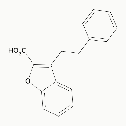 O=C(O)c1oc2ccccc2c1CCc1ccccc1